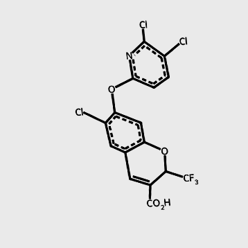 O=C(O)C1=Cc2cc(Cl)c(Oc3ccc(Cl)c(Cl)n3)cc2OC1C(F)(F)F